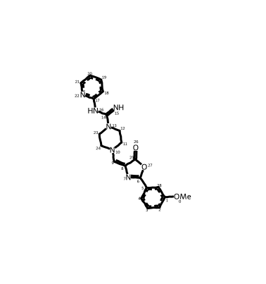 COc1cccc(C2=NC(=CN3CCN(C(=N)Nc4ccccn4)CC3)C(=O)O2)c1